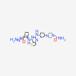 NN=NC(=O)[C@H]1C2C=CC(C2)[C@H]1Nc1nc(Nc2ccc(N3CCN(CC(N)=O)CC3)cc2)nc2ccsc12